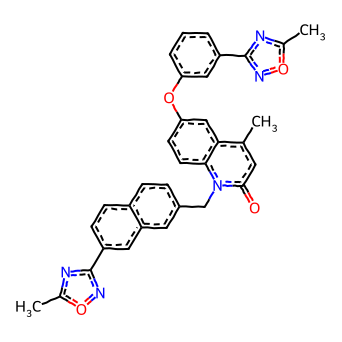 Cc1nc(-c2cccc(Oc3ccc4c(c3)c(C)cc(=O)n4Cc3ccc4ccc(-c5noc(C)n5)cc4c3)c2)no1